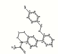 NC(=O)N1CCCc2cc(-c3cnccc3COc3ccc(F)cc3)cnc21